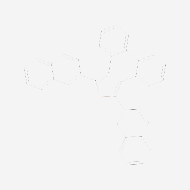 c1ccc2cc(-c3sc(-c4ccc5ccccc5c4)c4c5ccccc5c5ccccc5c34)ccc2c1